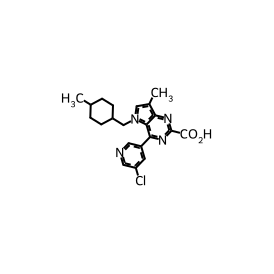 Cc1cn(CC2CCC(C)CC2)c2c(-c3cncc(Cl)c3)nc(C(=O)O)nc12